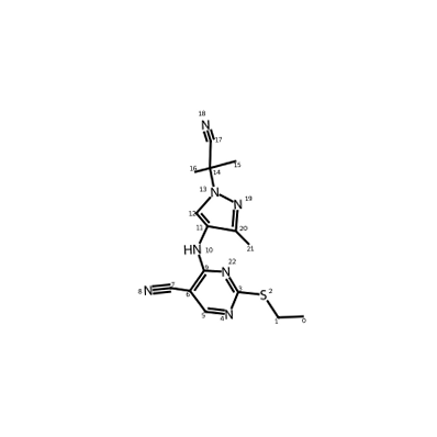 CCSc1ncc(C#N)c(Nc2cn(C(C)(C)C#N)nc2C)n1